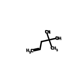 C=CCC(C)(O)C#N